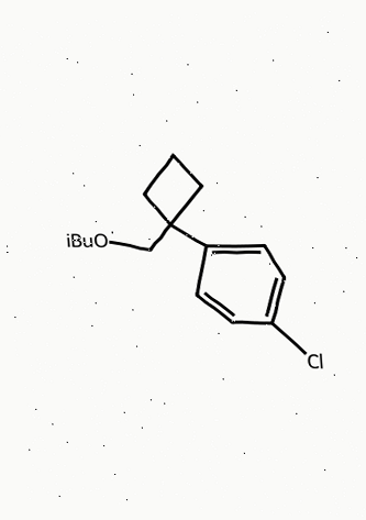 CC(C)COCC1(c2ccc(Cl)cc2)CCC1